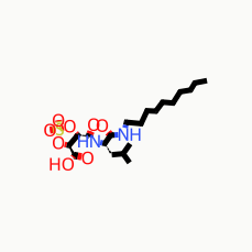 CCCCCCCCCCNC(=O)[C@H](CC(C)C)NC(=O)[C@H]1OS(=O)(=O)O[C@@H]1C(=O)O